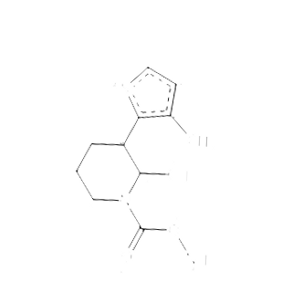 Cc1ccsc1C1CCCN(C(=O)ON)C1C